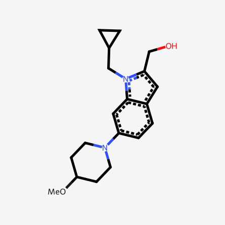 COC1CCN(c2ccc3cc(CO)n(CC4CC4)c3c2)CC1